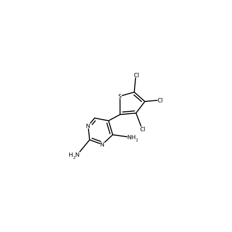 Nc1ncc(-c2sc(Cl)c(Cl)c2Cl)c(N)n1